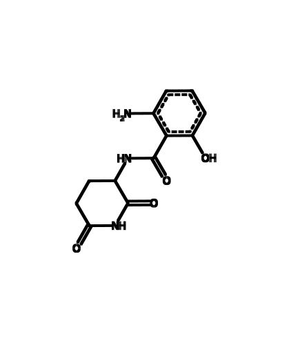 Nc1cccc(O)c1C(=O)NC1CCC(=O)NC1=O